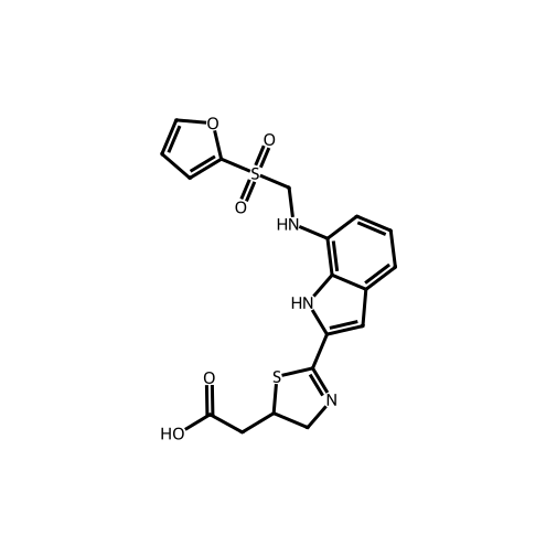 O=C(O)CC1CN=C(c2cc3cccc(NCS(=O)(=O)c4ccco4)c3[nH]2)S1